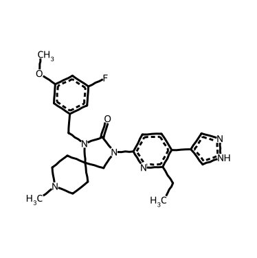 CCc1nc(N2CC3(CCN(C)CC3)N(Cc3cc(F)cc(OC)c3)C2=O)ccc1-c1cn[nH]c1